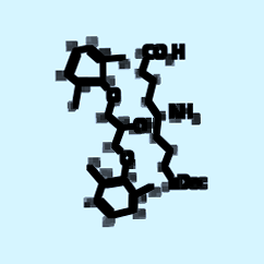 CCCCCCCCCCCCCCCCCC(=O)O.Cc1cccc(C)c1OCC(O)COc1c(C)cccc1C.N